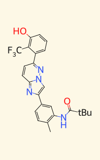 Cc1ccc(-c2cn3nc(-c4cccc(O)c4C(F)(F)F)ccc3n2)cc1NC(=O)C(C)(C)C